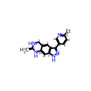 C=C1NCc2cc3c(-c4ccc(CC)nc4)n[nH]c3cc2N1